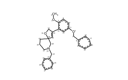 COc1ccc(OCc2ccccc2)cc1C1=CC2(CCCN(Cc3ccccc3)C2)OC1